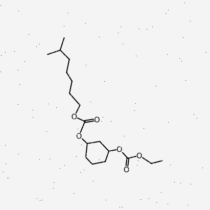 CCOC(=O)OC1CCCC(OC(=O)OCCCCCC(C)C)C1